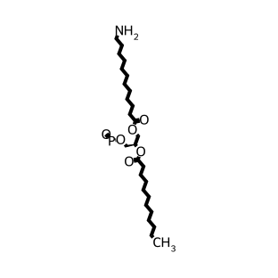 CCCCCCCCCCCC(=O)O[C@@H](COP=O)COC(=O)CCCCCCCCCCCN